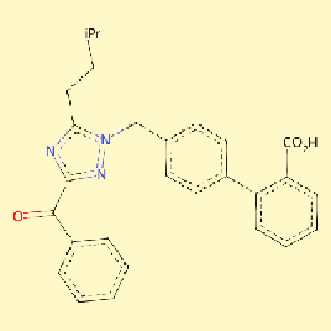 CC(C)CCc1nc(C(=O)c2ccccc2)nn1Cc1ccc(-c2ccccc2C(=O)O)cc1